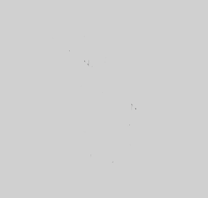 Cn1cc(C=[N+]([O-])C(C)(C)C)c2ccccc21